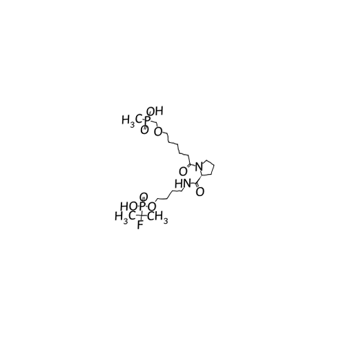 CC(C)(F)P(=O)(O)OCCCCNC(=O)[C@@H]1CCCN1C(=O)CCCCCOCP(C)(=O)O